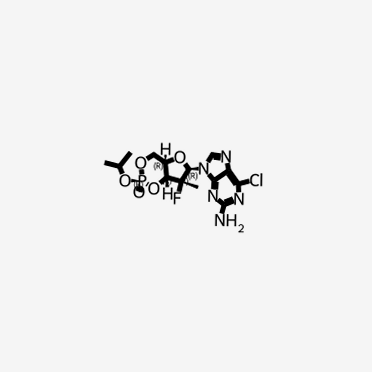 CC(C)O[P@@]1(=O)OC[C@H]2O[C@@H](n3cnc4c(Cl)nc(N)nc43)[C@](C)(F)[C@@H]2O1